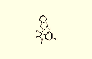 CN1C(=O)C(O)(c2ccc3ccccc3c2)c2c(Cl)cc(Cl)cc21